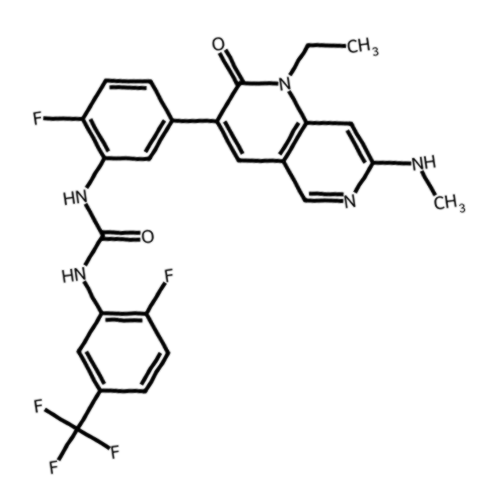 CCn1c(=O)c(-c2ccc(F)c(NC(=O)Nc3cc(C(F)(F)F)ccc3F)c2)cc2cnc(NC)cc21